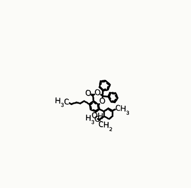 C=C(C)C1CCC(C)=CC1c1c(O)cc(CCCCC)c2c1OC(c1ccccc1)(c1ccccc1)OC2=O